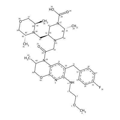 COCCNc1nc2c(cc1Cc1ccc(F)cc1)N(C(=O)CN1C[C@@H](C)N(C(=O)O)C[C@@H]1CN1[C@H](C)COC[C@H]1C)C(C)CO2